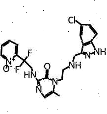 Cc1cnc(NCC(F)(F)c2cccc[n+]2[O-])c(=O)n1CCNCc1n[nH]c2ccc(Cl)cc12